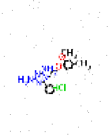 COc1cc(C)ccc1OCCCN1C(N)=NC(N)=NC1c1ccccc1.Cl